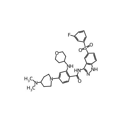 CN(C)C1CCN(c2ccc(C(=O)Nc3n[nH]c4ccc(S(=O)(=O)c5cccc(F)c5)cc34)c(NC3CCOCC3)c2)CC1